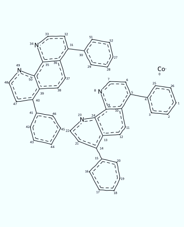 [Co].c1ccc(-c2ccnc3c2ccc2c(-c4ccccc4)ccnc23)cc1.c1ccc(-c2ccnc3c2ccc2c(-c4ccccc4)ccnc23)cc1